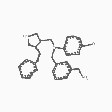 NCc1cccc(CN(CC2CNCC2Cc2ccccc2)c2ccc(Cl)cc2)c1